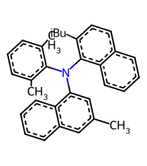 CCC(C)c1ccc2ccccc2c1N(c1c(C)cccc1C)c1cc(C)cc2ccccc12